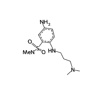 CNS(=O)(=O)c1cc(N)ccc1NCCCN(C)C